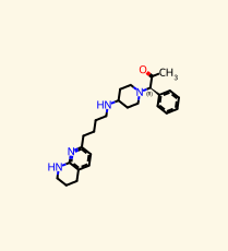 CC(=O)[C@@H](c1ccccc1)N1CCC(NCCCCc2ccc3c(n2)NCCC3)CC1